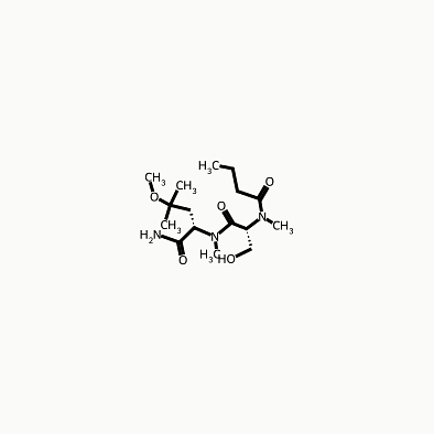 CCCC(=O)N(C)[C@H](CO)C(=O)N(C)[C@@H](CC(C)(C)OC)C(N)=O